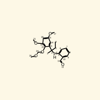 CCC(C)(Pc1ccccc1C=O)c1cc(OC)cc(OC)c1OCOC